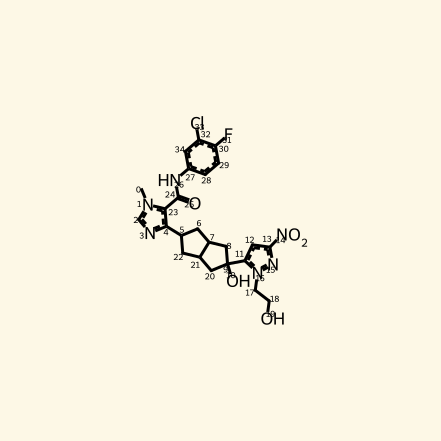 Cn1cnc(C2CC3CC(O)(c4cc([N+](=O)[O-])nn4CCO)CC3C2)c1C(=O)Nc1ccc(F)c(Cl)c1